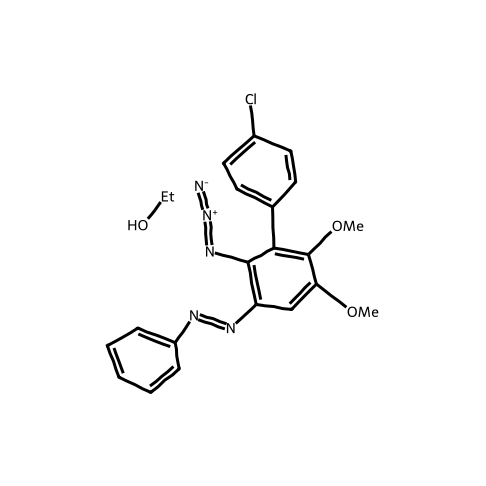 CCO.COc1cc(N=Nc2ccccc2)c(N=[N+]=[N-])c(-c2ccc(Cl)cc2)c1OC